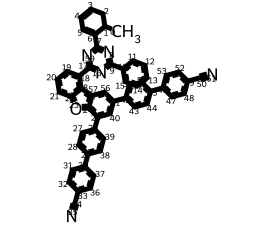 CC1CC=CC=C1c1nc(-c2ccccc2)nc(-c2cccc3oc4c(-c5ccc(-c6ccc(C#N)cc6)cc5)cc(-c5ccc(-c6ccc(C#N)cc6)cc5)cc4c23)n1